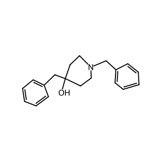 OC1(Cc2ccccc2)CCN(Cc2ccccc2)CC1